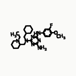 CCN1CCCCC1CN(CC1CCCCC1)c1nc(N)nc(Nc2ccc(OC)c(F)c2)n1